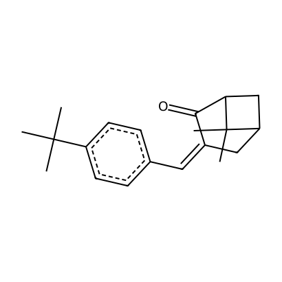 CC(C)(C)c1ccc(C=C2CC3CC(C2=O)C3(C)C)cc1